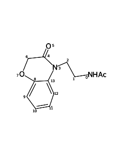 CC(=O)NCCN1C(=O)COc2cc[c]cc21